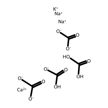 O=C(O)O.O=C([O-])O.O=C([O-])[O-].O=C([O-])[O-].[Ca+2].[K+].[Na+].[Na+]